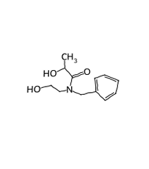 CC(O)C(=O)N(CCO)Cc1ccccc1